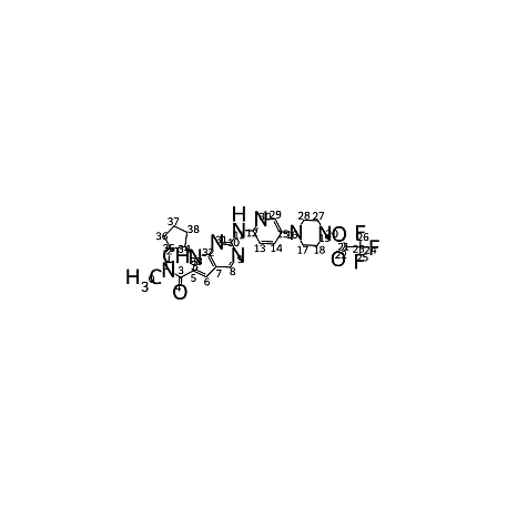 CN(C)C(=O)c1cc2cnc(Nc3ccc(N4CCN(OC(=O)C(F)(F)F)CC4)cn3)nc2n1C1CCCC1